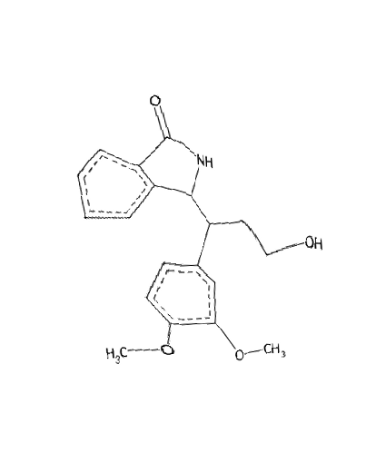 COc1ccc(C(CCO)C2NC(=O)c3ccccc32)cc1OC